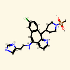 CS(=O)(=O)N1CCC(C2c3ccc(Cl)cc3C=C(NCCc3c[nH]cn3)c3cccnc32)CC1